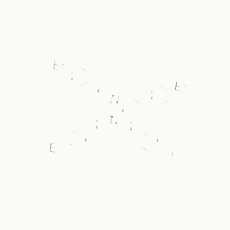 CCc1ccc(C=Cc2nc(C=Cc3ccc(CC)cc3)c(C=Cc3ccc(CC)cc3)nc2C=Cc2ccc(CC)cc2)cc1